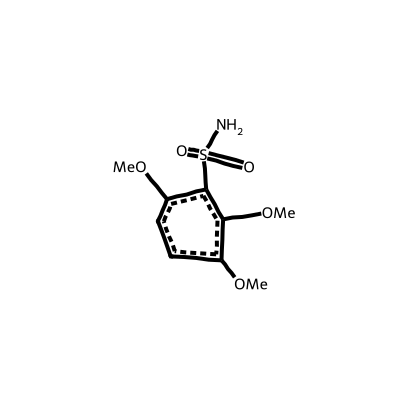 COc1ccc(OC)c(S(N)(=O)=O)c1OC